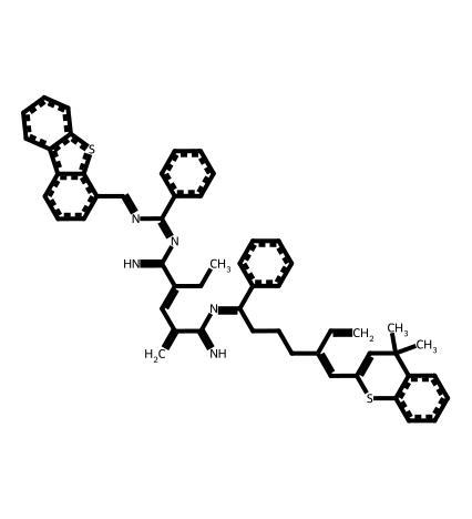 C=C/C(=C\C1=CC(C)(C)c2ccccc2S1)CCC/C(=N\C(=N)C(=C)/C=C(\CC)C(=N)/N=C(\N=C\c1cccc2c1sc1ccccc12)c1ccccc1)c1ccccc1